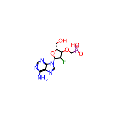 Nc1ncnc2c1ncn2[C@@H]1O[C@H](CO)C(OC[PH](=O)O)C1F